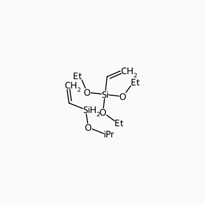 C=C[SiH2]OC(C)C.C=C[Si](OCC)(OCC)OCC